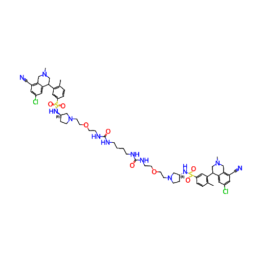 Cc1ccc(S(=O)(=O)N[C@@H]2CCN(CCOCCNC(=O)NCCCCNC(=O)NCCOCCN3CC[C@@H](NS(=O)(=O)c4ccc(C)c(C5CN(C)Cc6c(C#N)cc(Cl)cc65)c4)C3)C2)cc1C1CN(C)Cc2c(C#N)cc(Cl)cc21